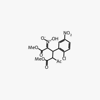 COC(=O)C(C(c1cc([N+](=O)[O-])ccc1Cl)C(C(C)=O)C(=O)OC)=[N+]([O-])O